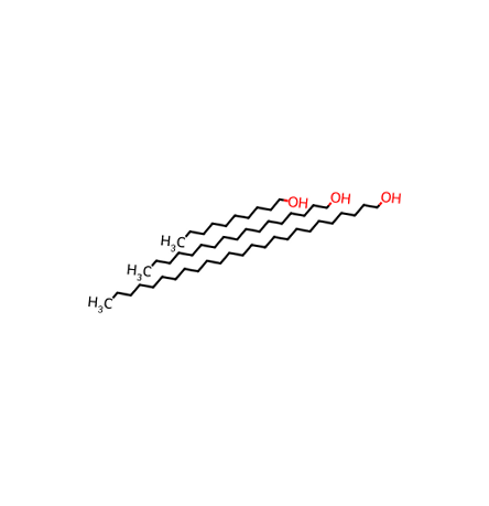 CCCCCCCCCCCCCCCCCCCCCCCCCO.CCCCCCCCCCCCCCCCCO.CCCCCCCCCCO